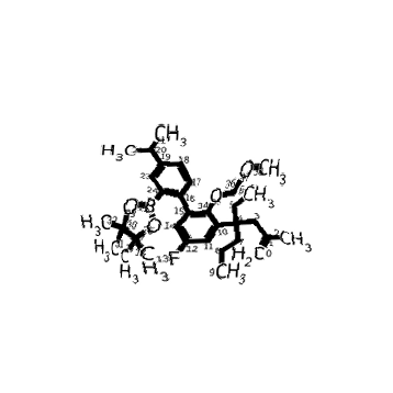 C=C(C)CC(CC)(CCC)c1cc(F)cc(-c2ccc(C(C)C)cc2B2OC(C)(C)C(C)(C)O2)c1OCOC